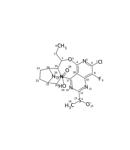 CCC1Oc2nc(Cl)c(F)c3nc([S+](C)[O-])nc(c23)N2CC3CCC(C12)N3C(=O)O